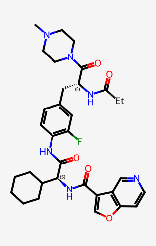 CCC(=O)N[C@H](Cc1ccc(NC(=O)[C@@H](NC(=O)c2coc3ccncc23)C2CCCCC2)c(F)c1)C(=O)N1CCN(C)CC1